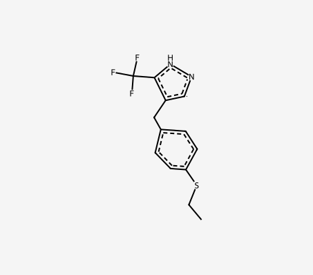 CCSc1ccc(Cc2[c]n[nH]c2C(F)(F)F)cc1